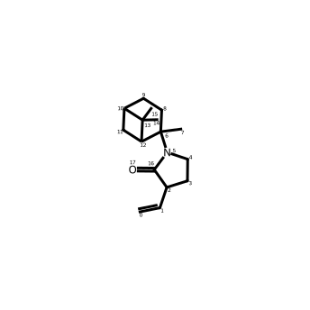 C=CC1CCN(C2(C)CCC3CC2C3(C)C)C1=O